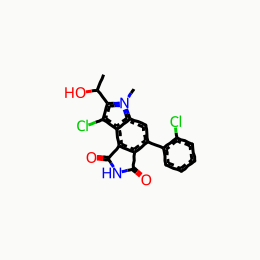 CC(O)c1c(Cl)c2c3c(c(-c4ccccc4Cl)cc2n1C)C(=O)NC3=O